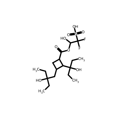 CCC(O)(CC)CC1CC(C(=O)OC(O)C(F)(F)S(=O)(=O)O)C1C(O)(CC)CC